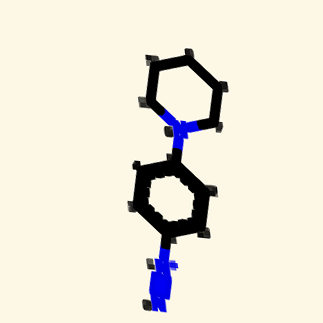 N#[N+]c1ccc(N2CCCCC2)cc1